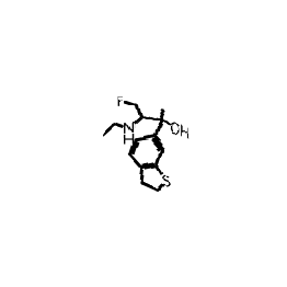 CCNC(CF)C(C)(O)c1ccc2c(c1)SCC2